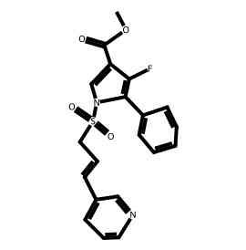 COC(=O)c1cn(S(=O)(=O)CC=Cc2cccnc2)c(-c2ccccc2)c1F